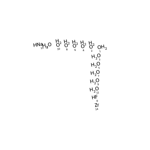 F.O.O.O.O.O.O.O.O.O.O.O.O.[NaH].[Zr]